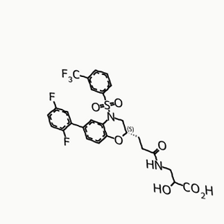 O=C(CC[C@H]1CN(S(=O)(=O)c2cccc(C(F)(F)F)c2)c2cc(-c3cc(F)ccc3F)ccc2O1)NCC(O)C(=O)O